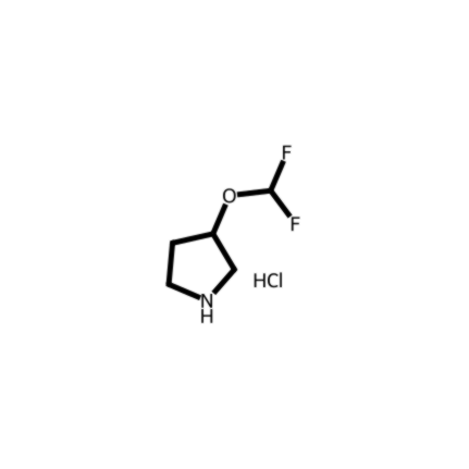 Cl.FC(F)OC1CCNC1